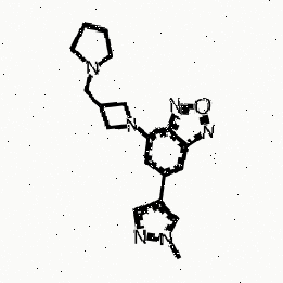 Cn1cc(-c2cc(N3CC(CN4CCCC4)C3)c3nonc3c2)cn1